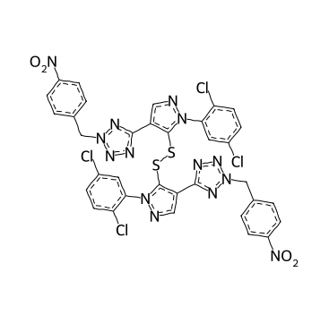 O=[N+]([O-])c1ccc(Cn2nnc(-c3cnn(-c4cc(Cl)ccc4Cl)c3SSc3c(-c4nnn(Cc5ccc([N+](=O)[O-])cc5)n4)cnn3-c3cc(Cl)ccc3Cl)n2)cc1